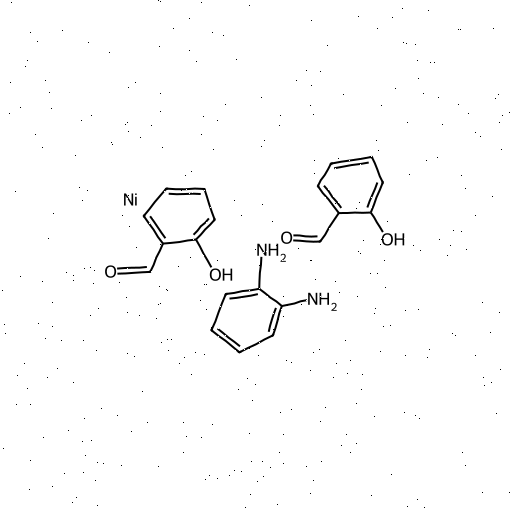 Nc1ccccc1N.O=Cc1ccccc1O.O=Cc1ccccc1O.[Ni]